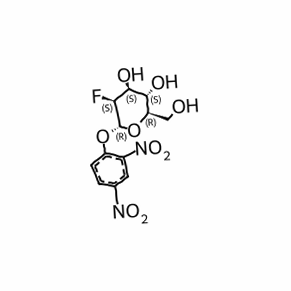 O=[N+]([O-])c1ccc(O[C@H]2O[C@H](CO)[C@@H](O)[C@H](O)[C@@H]2F)c([N+](=O)[O-])c1